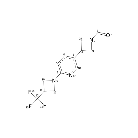 O=CN1CC(c2ccc(N3CC(C(F)(F)F)C3)nc2)C1